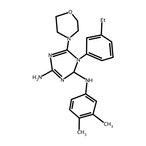 CCc1cccc(N2C(N3CCOCC3)=NC(N)=NC2Nc2ccc(C)c(C)c2)c1